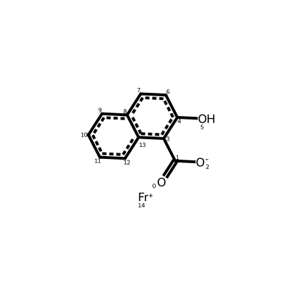 O=C([O-])c1c(O)ccc2ccccc12.[Fr+]